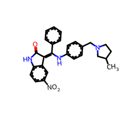 CC1CCN(Cc2ccc(NC(=C3C(=O)Nc4ccc([N+](=O)[O-])cc43)c3ccccc3)cc2)C1